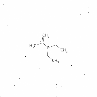 C=C(C)P(CC)CC